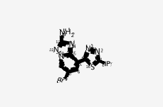 CC(C)c1nnc(-c2cc(Br)cn3nc(N)nc23)s1